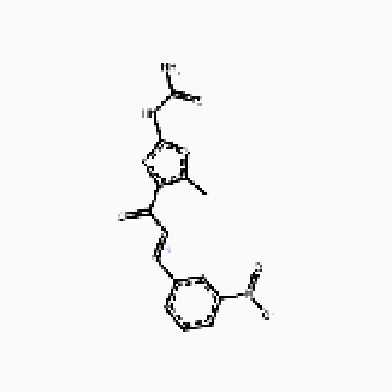 Cc1nc(NC(N)=S)sc1C(=O)/C=C/c1cccc([N+](=O)[O-])c1